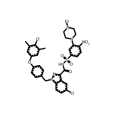 CCN1CCN(c2cc(S(=O)(=O)NC(=O)c3nn(Cc4ccc(Oc5cc(C)c(Cl)c(C)c5)cc4)c4ccc(Cl)cc34)ccc2[N+](=O)[O-])CC1